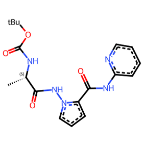 C[C@H](NC(=O)OC(C)(C)C)C(=O)Nn1cccc1C(=O)Nc1ccccn1